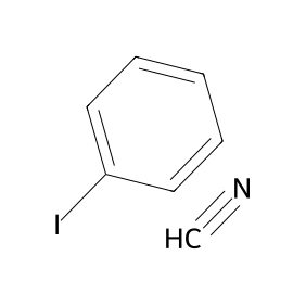 C#N.Ic1ccccc1